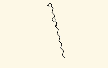 CCCCCCCCCC=COCCC[O]